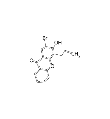 C=CCc1c(O)c(Br)cc2c(=O)c3ccccc3oc12